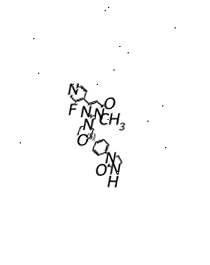 Cn1c(N2CCO[C@@H](c3ccc(N4CCNC4=O)cc3)C2)nc(-c2ccncc2F)cc1=O